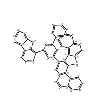 c1ccc(-c2nc(-c3cccc4c3sc3ccccc34)nc(-c3cc4ccc5ccccc5c4c4oc5ccc6ccccc6c5c34)n2)cc1